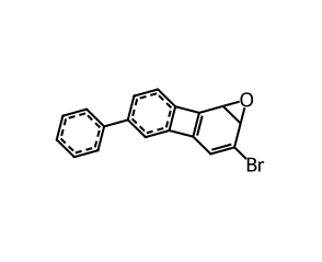 BrC1=CC2=C(c3ccc(-c4ccccc4)cc32)C2OC12